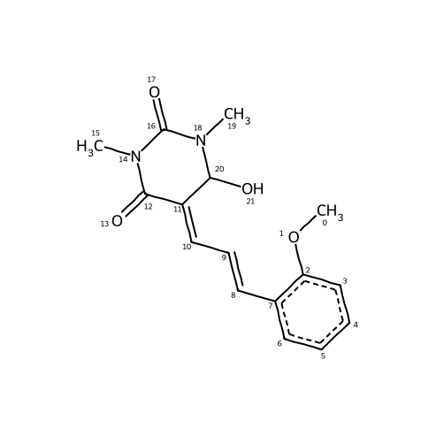 COc1ccccc1/C=C/C=C1/C(=O)N(C)C(=O)N(C)C1O